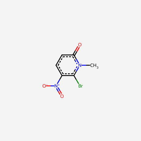 Cn1c(Br)c([N+](=O)[O-])ccc1=O